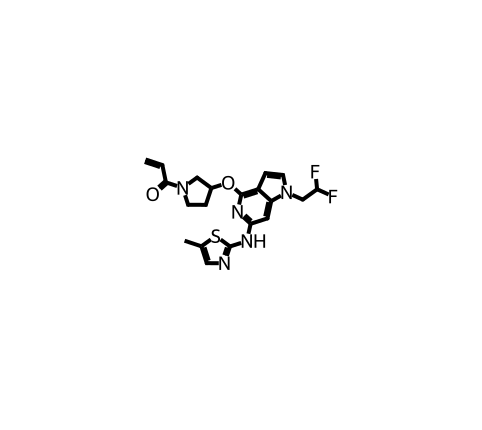 C=CC(=O)N1CCC(Oc2nc(Nc3ncc(C)s3)cc3c2ccn3CC(F)F)C1